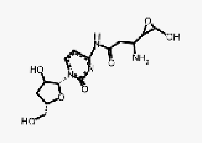 NC(CC(=O)Nc1ccn([C@@H]2O[C@H](CO)CC2O)c(=O)n1)C1OC1O